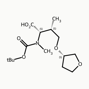 C[C@H](CO[C@H]1CCOC1)[C@@H](C(=O)O)N(C)C(=O)OC(C)(C)C